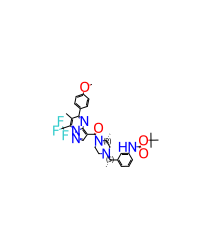 COc1ccc(-c2nc3c(C(=O)N4CCN([C@@H](C)c5cccc(NC(=O)OC(C)(C)C)c5)C[C@H]4C)cnn3c(C(F)(F)F)c2C)cc1